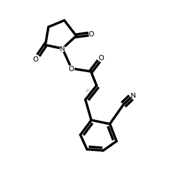 N#Cc1ccccc1/C=C/C(=O)ON1C(=O)CCC1=O